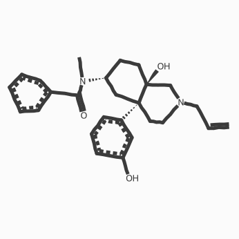 C=CCN1CC[C@@]2(c3cccc(O)c3)C[C@H](N(C)C(=O)c3ccccc3)CC[C@]2(O)C1